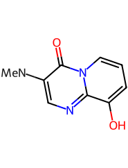 CNc1cnc2c(O)cccn2c1=O